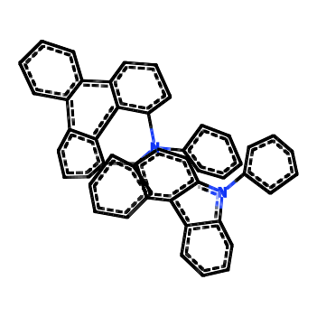 c1ccc(N(c2ccccc2)c2cccc3c4ccccc4c4cccc(-c5ccc6c(c5)c5ccccc5n6-c5ccccc5)c4c23)cc1